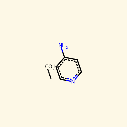 CC(=O)O.Nc1ccncc1